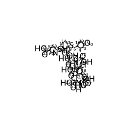 COc1ccc(CSC2(CC(=O)O)CCCCC2)cc1.O=C(O)CNCP(=O)(O)O.O=C(O)[C@@H]1C[C@H](C(=O)O)N1.O=C(O)c1c(Cl)c(Cl)cc(Cl)c1Cl.O=C(O)c1ccc(S)nc1